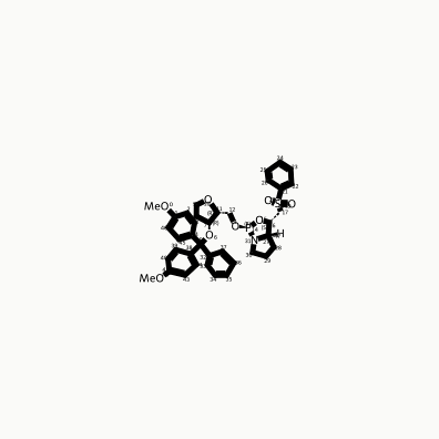 COc1ccc(C(O[C@@H]2CCO[C@@H]2CO[P@@]2O[C@H](CS(=O)(=O)c3ccccc3)[C@@H]3CCCN32)(c2ccccc2)c2ccc(OC)cc2)cc1